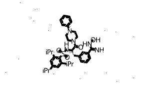 CC(C)c1cc(C(C)C)c(S(=O)(=O)N[C@@H](Cc2cccc(C(=N)NO)c2)C(=O)N2CCN(c3ccccc3)CC2)c(C(C)C)c1